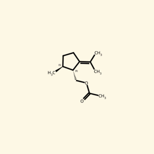 CC(=O)OC[C@H]1C(=C(C)C)CC[C@@H]1C